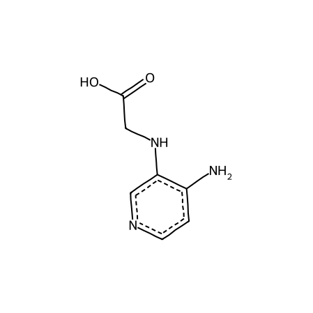 Nc1ccncc1NCC(=O)O